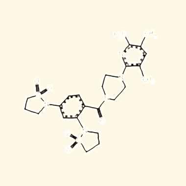 Cc1cc(C)c(N2CCN(C(=O)c3ccc(N4CCCS4(=O)=O)cc3N3CCCS3(=O)=O)CC2)nc1C